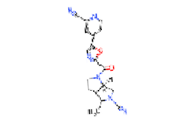 CC1C2CCN(C(=O)c3ncc(-c4ccnc(C#N)c4)o3)[C@H]2CN1C#N